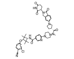 CN(C(=O)[C@@H]1CCN(c2ccc3c(c2)CN(C2CCC(=O)NC2=O)C3=O)C1)N1CCN(c2ccc(C(=O)N[C@H]3C(C)(C)[C@H](Oc4ccc(C#N)c(Cl)c4)C3(C)C)cn2)CC1